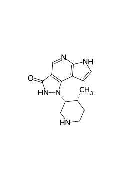 C[C@@H]1CCNC[C@@H]1n1[nH]c(=O)c2cnc3[nH]ccc3c21